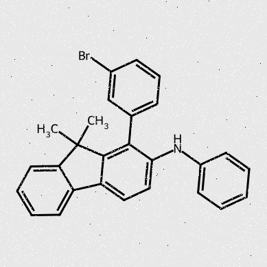 CC1(C)c2ccccc2-c2ccc(Nc3ccccc3)c(-c3cccc(Br)c3)c21